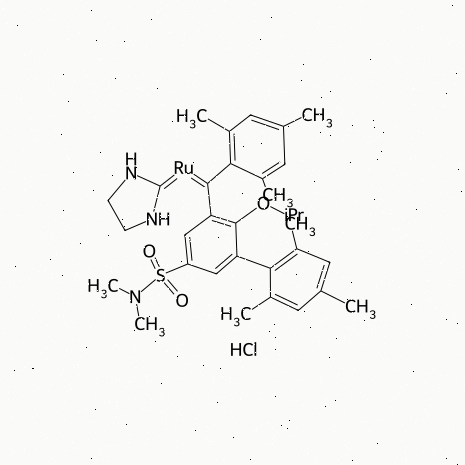 Cc1cc(C)c([C](=[Ru]=[C]2NCCN2)c2cc(S(=O)(=O)N(C)C)cc(-c3c(C)cc(C)cc3C)c2OC(C)C)c(C)c1.Cl